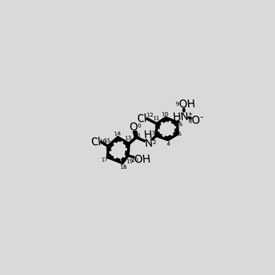 O=C(Nc1ccc([NH+]([O-])O)cc1Cl)c1cc(Cl)ccc1O